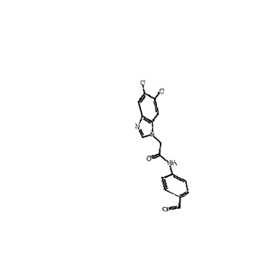 O=Cc1ccc(NC(=O)Cn2cnc3cc(Cl)c(Cl)cc32)cc1